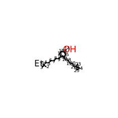 CCC(C)(C)CCCCCCc1ccc(O)cc1CCCCCC1(C)CC1